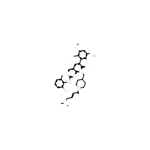 COc1cc(OC)c(Cl)c(-c2cc3cnc(Nc4c(C)cccc4[N+](=O)[O-])nc3n(CC3CCN(C(=O)/C=C/CN(C)C)CC3)c2=O)c1Cl